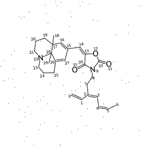 C=C/C(=C\C=C/C)CCN1C(=O)O/C(=C/C2=CC3(C)CCCN4CCCC(=C2)C43C)C1=O